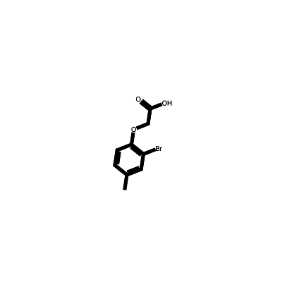 Cc1ccc(OCC(=O)O)c(Br)c1